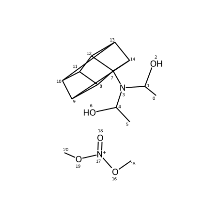 CC(O)N(C(C)O)C12C3C4C5C3C1C5C42.CO[N+](=O)OC